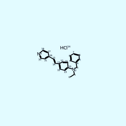 CCN(Cc1ccccc1)c1ccc(C=Cc2ccncc2)cc1.Cl